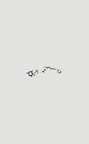 Cc1cc(C)c(S(=O)(=O)N[C@@H](CNC(=O)c2nnc(CCCCNC3N=CCN3)s2)C(=O)O)c(C)c1